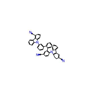 N#CC1=Cc2c(n(-c3ccc(C#N)cc3-c3ccccc3-c3cccc(-n4c5ccccc5c5c(C#N)cccc54)c3)c3ccccc23)CC1